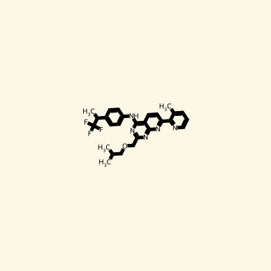 Cc1cccnc1-c1ccc2c(Nc3ccc(C(C)C(F)(F)F)cc3)nc(COCC(C)C)nc2n1